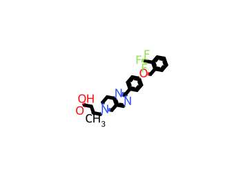 CC(CC(=O)O)CN1CCc2nc(-c3ccc(OCc4ccccc4C(F)(F)F)cc3)ncc2C1